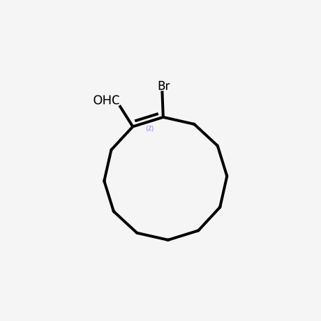 O=C/C1=C(\Br)CCCCCCCCCC1